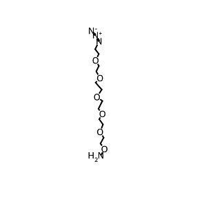 [N-]=[N+]=NCCOCCOCCOCCOCCOCCON